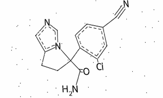 N#Cc1ccc(C2(C(N)=O)CCc3cncn32)c(Cl)c1